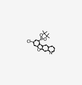 CC1(C)OB(c2cc(Cl)cc3oc4cc5ncccc5cc4c23)OC1(C)C